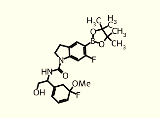 COC1(F)C=CC=C(C(CO)NC(=O)N2CCc3cc(B4OC(C)(C)C(C)(C)O4)c(F)cc32)C1